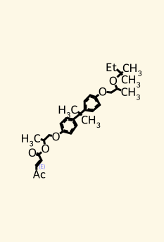 CCC(C)(C)OC(C)COc1ccc(C(C)(C)c2ccc(OCC(C)OC(=O)/C=C/C(C)=O)cc2)cc1